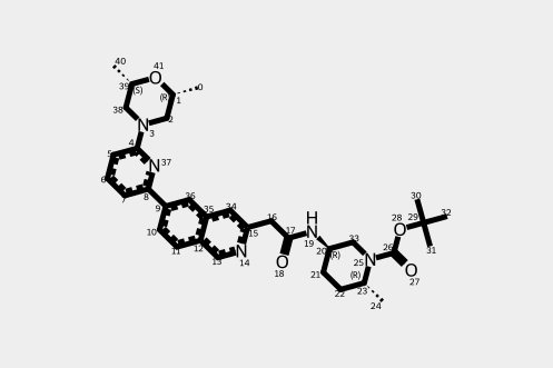 C[C@@H]1CN(c2cccc(-c3ccc4cnc(CC(=O)N[C@@H]5CC[C@@H](C)N(C(=O)OC(C)(C)C)C5)cc4c3)n2)C[C@H](C)O1